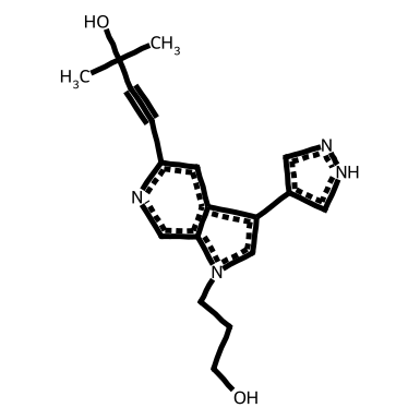 CC(C)(O)C#Cc1cc2c(-c3cn[nH]c3)cn(CCCO)c2cn1